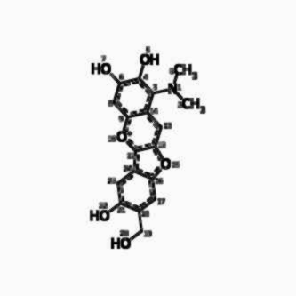 CN(C)c1c(O)c(O)cc2[o+]c3c(cc12)oc1cc(CO)c(O)cc13